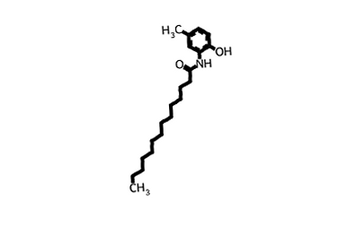 CCCCCCCCCCCCCC(=O)Nc1cc(C)ccc1O